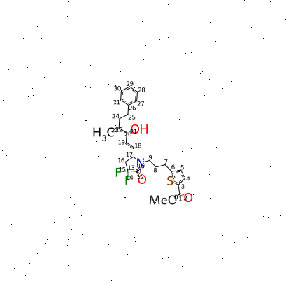 COC(=O)c1ccc(CCCN2C(=O)C(F)(F)C[C@@H]2C=C[C@@H](O)[C@H](C)CCc2ccccc2)s1